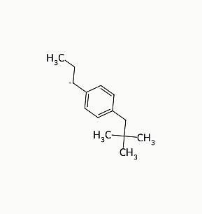 CC[CH]c1ccc(CC(C)(C)C)cc1